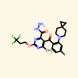 Cc1nc(OCCC(F)(F)F)nc(C(=O)NN)c1C(=O)c1ccc(I)cc1N1CCC2(CC1)CC2